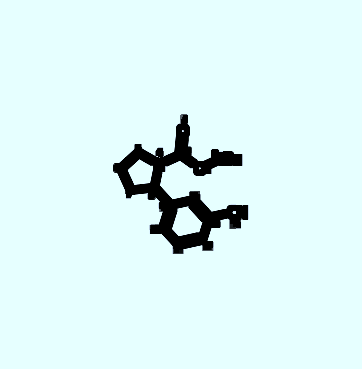 CC(C)(C)OC(=O)N1CCCC1c1cccc(C#N)c1